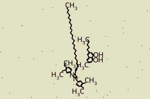 CCCCCCCCCCCCCCCCCCCCCCCCCC#CC(C=Nc1ccc(CC)c(CC)c1)=Nc1ccc(CC)c(CC)c1.CCCCCc1cc(O)c2c(O)cc(C)cc2c1